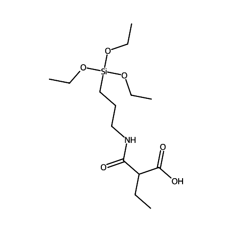 CCO[Si](CCCNC(=O)C(CC)C(=O)O)(OCC)OCC